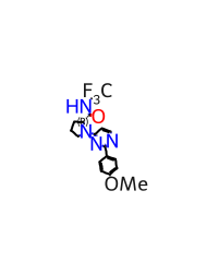 COc1ccc(-c2nccc(N3CCC[C@@H]3C(=O)NCC(F)(F)F)n2)cc1